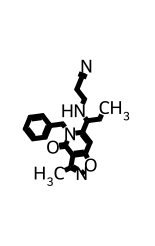 CCC(NCCC#N)c1cc2onc(C)c2c(=O)n1Cc1ccccc1